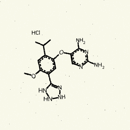 COc1cc(C(C)C)c(Oc2cnc(N)nc2N)cc1C1=NNNN1.Cl